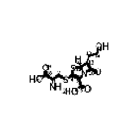 N[C@@H](CSC1=C(C(=O)O)N2C(=O)[C@H](CCO)[C@H]2S1)C(=O)O